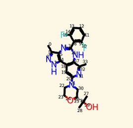 Cc1n[nH]c2c1N=C(c1c(F)cccc1F)Nc1c-2cc(N2CCO[C@@H](C(C)(C)O)C2)nc1C